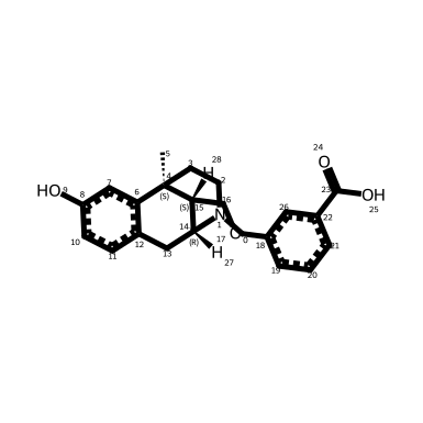 CN1CC[C@]2(C)c3cc(O)ccc3C[C@@H]1[C@H]2COc1cccc(C(=O)O)c1